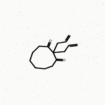 C=CCC1(CC=C)C(=O)CCCCCCC1=O